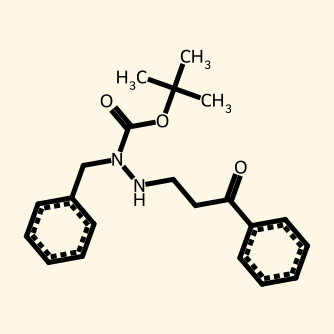 CC(C)(C)OC(=O)N(Cc1ccccc1)NCCC(=O)c1ccccc1